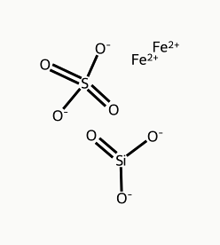 O=S(=O)([O-])[O-].O=[Si]([O-])[O-].[Fe+2].[Fe+2]